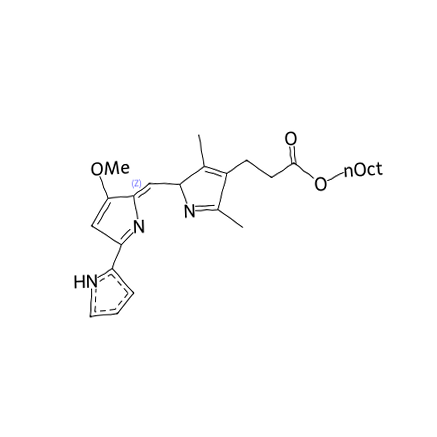 CCCCCCCCOC(=O)CCC1=C(C)C(/C=C2\N=C(c3ccc[nH]3)C=C2OC)N=C1C